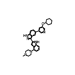 CN1CCN(c2cccc3[nH]c(-c4n[nH]c5ccc(-c6cncc(OC7CCCCC7)c6)cc45)cc23)CC1